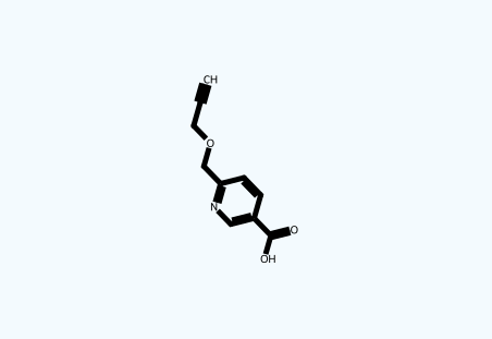 C#CCOCc1ccc(C(=O)O)cn1